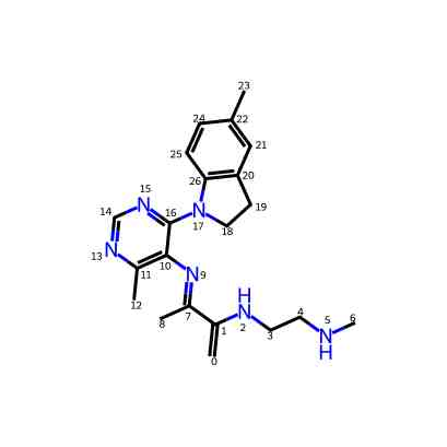 C=C(NCCNC)/C(C)=N/c1c(C)ncnc1N1CCc2cc(C)ccc21